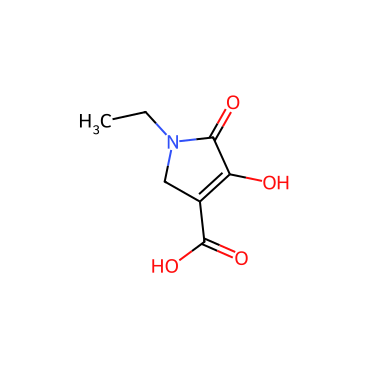 CCN1CC(C(=O)O)=C(O)C1=O